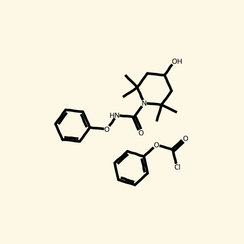 CC1(C)CC(O)CC(C)(C)N1C(=O)NOc1ccccc1.O=C(Cl)Oc1ccccc1